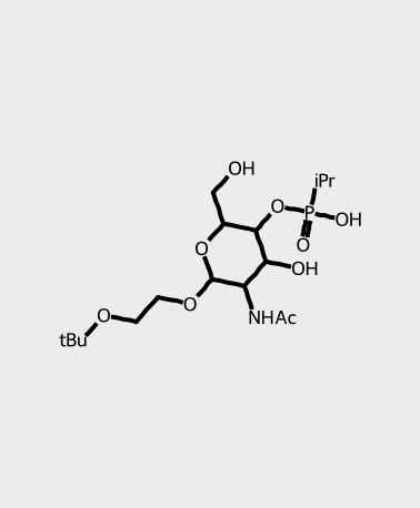 CC(=O)NC1C(OCCOC(C)(C)C)OC(CO)C(OP(=O)(O)C(C)C)C1O